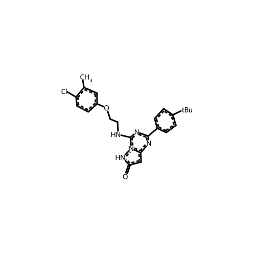 Cc1cc(OCCNc2nc(-c3ccc(C(C)(C)C)cc3)nc3cc(=O)[nH]n23)ccc1Cl